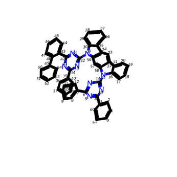 c1ccc(-c2nc(-c3ccccc3)nc(-n3c4ccccc4c4cc5c6ccccc6n(-c6nc(-c7ccccc7)nc(-c7ccccc7-c7ccccc7)n6)c5cc43)n2)cc1